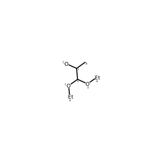 CCOC(OCC)C(C)[O]